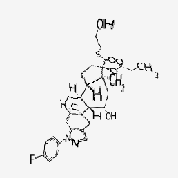 CCC(=O)O[C@]1(C(=O)SCCO)CC[C@H]2[C@@H]3CCC4=Cc5c(cnn5-c5ccc(F)cc5)C[C@]4(C)[C@H]3[C@@H](O)C[C@@]21C